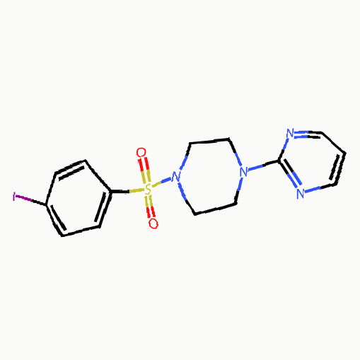 O=S(=O)(c1ccc(I)cc1)N1CCN(c2ncccn2)CC1